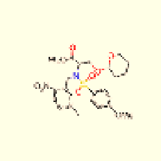 COC(=O)C(COC1CCCCO1)N(Cc1cc(C)ccc1[N+](=O)[O-])S(=O)(=O)c1ccc(OC)cc1